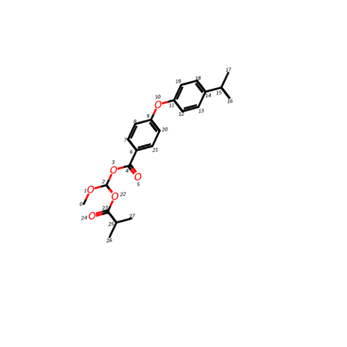 COC(OC(=O)c1ccc(Oc2ccc(C(C)C)cc2)cc1)OC(=O)C(C)C